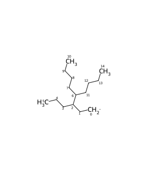 [CH2]CC(CCC)C(CCCC)CCCC